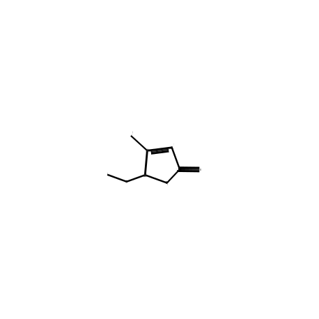 CCC1CC(=O)C=C1C